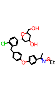 CCO/N=C(\C)c1ccc(Oc2ccc(Cc3cc([C@H]4CC(O)CC(CO)O4)ccc3Cl)cc2)cc1